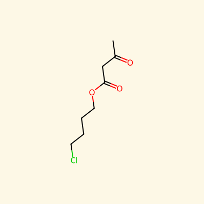 CC(=O)CC(=O)OCCCCCl